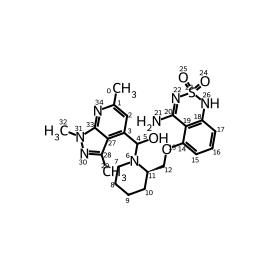 Cc1cc(C(O)N2CCCC[C@@H]2COc2cccc3c2C(N)=NS(=O)(=O)N3)c2c(C)nn(C)c2n1